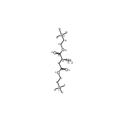 C[Si](C)(C)CCOC(=O)C[C@H](N)C(=O)OCC[Si](C)(C)C